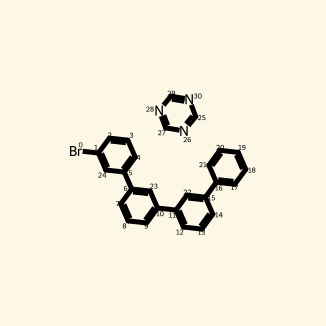 Brc1cccc(-c2cccc(-c3cccc(-c4ccccc4)c3)c2)c1.c1ncncn1